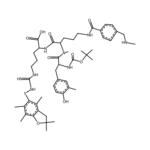 CNCc1ccc(C(=O)NCCCC(C(=O)NC(CCCNC(=N)NSc2c(C)c(C)c3c(c2C)CC(C)(C)O3)C(=O)O)N(C)C(=O)C(Cc2ccc(O)c(C)c2)NC(=O)OC(C)(C)C)cc1